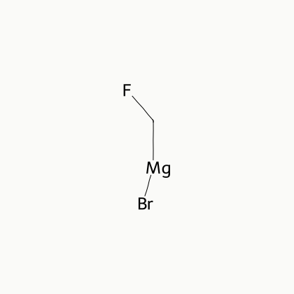 F[CH2][Mg][Br]